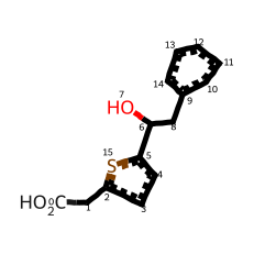 O=C(O)Cc1ccc(C(O)Cc2ccccc2)s1